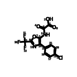 O=C(O)C(=O)Nc1oc(C(F)(F)F)nc1-c1ccc(Cl)cc1